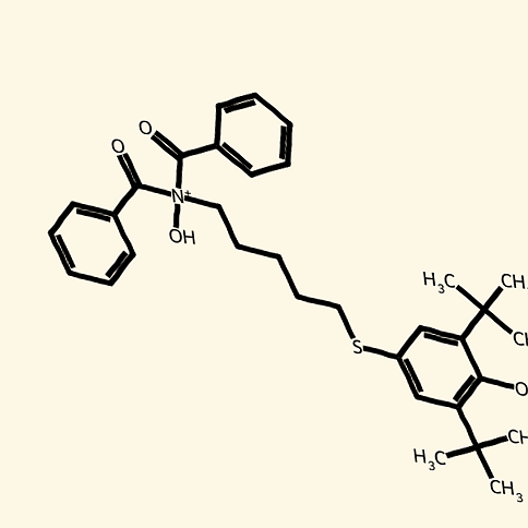 CC(C)(C)c1cc(SCCCCC[N+](O)(C(=O)c2ccccc2)C(=O)c2ccccc2)cc(C(C)(C)C)c1O